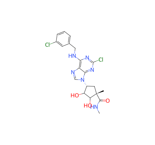 CNC(=O)[C@@]1(C)C[C@@H](n2cnc3c(NCc4cccc(Cl)c4)nc(Cl)nc32)C(O)C1O